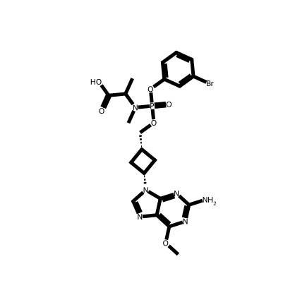 COc1nc(N)nc2c1ncn2[C@H]1C[C@@H](COP(=O)(Oc2cccc(Br)c2)N(C)C(C)C(=O)O)C1